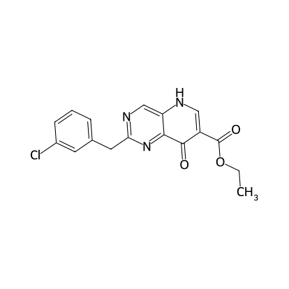 CCOC(=O)c1c[nH]c2cnc(Cc3cccc(Cl)c3)nc2c1=O